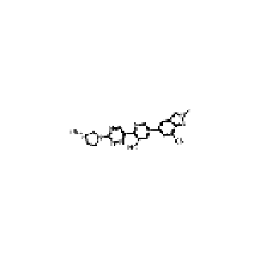 Cn1cc2cc(-c3cnc(-c4cnc(N5CC[C@H](C(C)(C)C)C5)nn4)c(O)c3)cc(C#N)c2n1